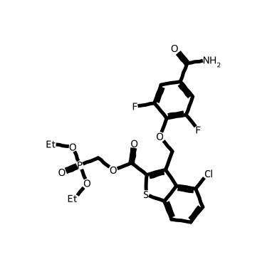 CCOP(=O)(COC(=O)c1sc2cccc(Cl)c2c1COc1c(F)cc(C(N)=O)cc1F)OCC